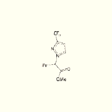 COC(=O)C(C(C)C)n1ccc(C(F)(F)F)n1